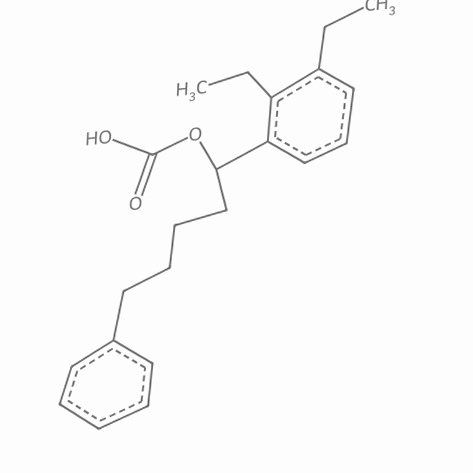 CCc1cccc(C(CCCCc2ccccc2)OC(=O)O)c1CC